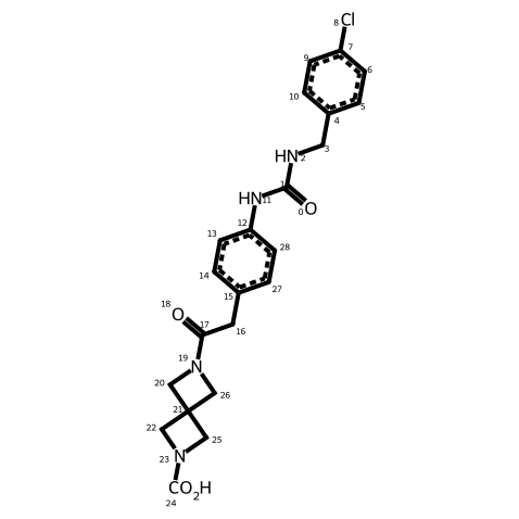 O=C(NCc1ccc(Cl)cc1)Nc1ccc(CC(=O)N2CC3(CN(C(=O)O)C3)C2)cc1